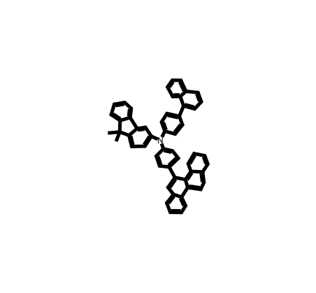 CC1(C)c2ccccc2-c2cc(N(c3ccc(-c4cccc5ccccc45)cc3)c3ccc(-c4cc5ccccc5c5ccc6ccccc6c45)cc3)ccc21